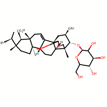 CC(=O)O[C@@H]1C[C@]23C4=CC[C@@]5(C)[C@H](C(=O)O)[C@@](C)([C@H](C)C(C)C)CC[C@]5(C)[C@H]4CC[C@H]2[C@](C)(COC3O)[C@H]1O[C@@H]1OC(CO)[C@@H](O)[C@H](O)C1O